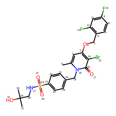 Cc1cc(OCc2ccc(F)cc2F)c(Br)c(=O)n1Cc1ccc(S(=O)(=O)NCC(C)(C)O)cc1